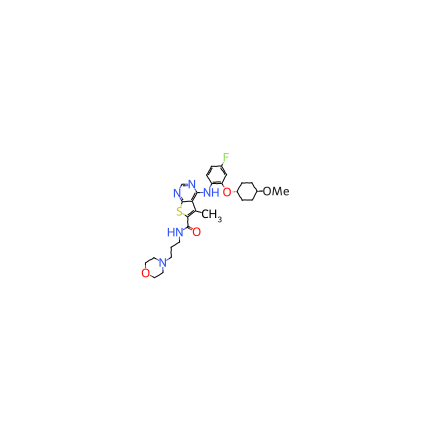 CO[C@H]1CC[C@H](Oc2cc(F)ccc2Nc2ncnc3sc(C(=O)NCCCN4CCOCC4)c(C)c23)CC1